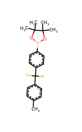 Cc1ccc(C(F)(F)c2ccc(B3OC(C)(C)C(C)(C)O3)cc2)cc1